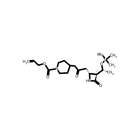 C=CCOC(=O)N1CCC(CC(=O)C[C@H]2NC(=O)[C@@H]2[C@@H](C)O[Si](C)(C)C(C)(C)C)CC1